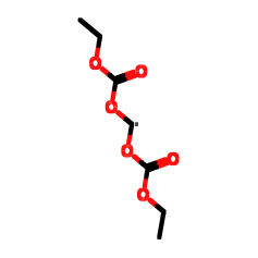 CCOC(=O)O[CH]OC(=O)OCC